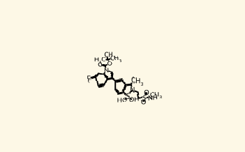 CNS(=O)(=O)CCN1C(C)c2cc(-c3cn(C(=O)OC(C)(C)C)c4cc(F)ccc34)ccc2S1(O)O